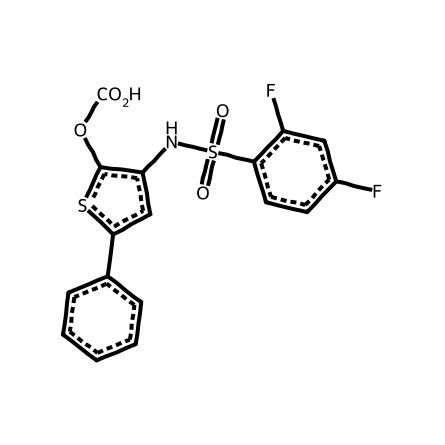 O=C(O)Oc1sc(-c2ccccc2)cc1NS(=O)(=O)c1ccc(F)cc1F